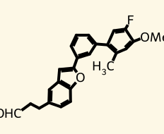 COc1cc(C)c(-c2cccc(-c3cc4cc(CCC=O)ccc4o3)c2)cc1F